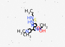 C=CC(=O)O.CCCCNC(=S)Nc1ccc2[nH]cc(C3CCN(C(C)C)CC3)c2n1